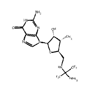 C[C@H]1[C@@H](O)[C@H](n2cnc3c(=O)[nH]c(N)nc32)O[C@@H]1CNC(N)(C(F)(F)F)C(F)(F)F